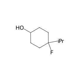 CC(C)C1(F)CCC(O)CC1